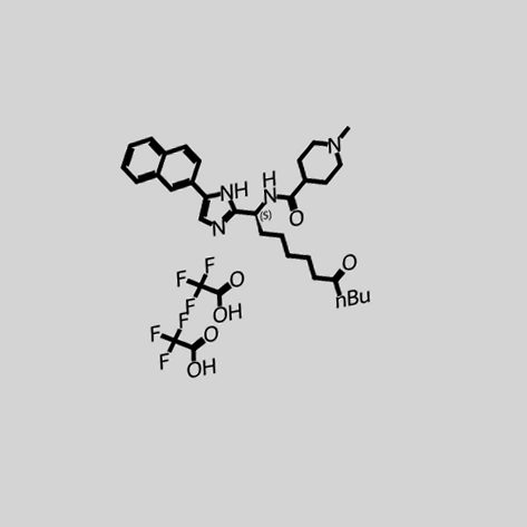 CCCCC(=O)CCCCC[C@H](NC(=O)C1CCN(C)CC1)c1ncc(-c2ccc3ccccc3c2)[nH]1.O=C(O)C(F)(F)F.O=C(O)C(F)(F)F